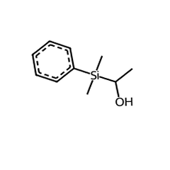 CC(O)[Si](C)(C)c1ccccc1